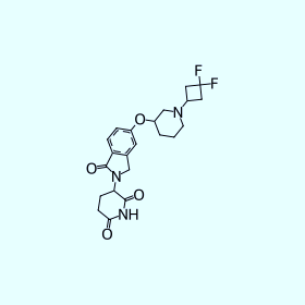 O=C1CCC(N2Cc3cc(OC4CCCN(C5CC(F)(F)C5)C4)ccc3C2=O)C(=O)N1